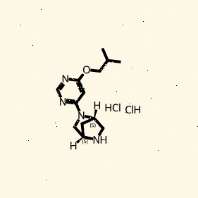 CC(C)COc1cc(N2C[C@@H]3C[C@H]2CN3)ncn1.Cl.Cl